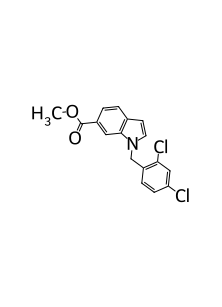 COC(=O)c1ccc2ccn(Cc3ccc(Cl)cc3Cl)c2c1